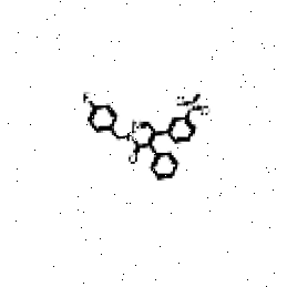 CS(=O)(=O)c1cccc(-c2cnn(Cc3ccc(F)cc3)c(=O)c2-c2ccccc2)c1